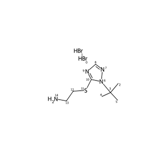 Br.Br.CC(C)(C)n1ncnc1SCCN